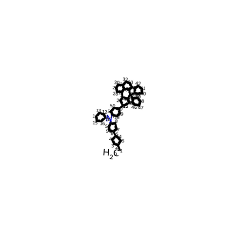 C=Cc1ccc(-c2ccc(N(c3ccccc3)c3ccc(-c4ccc5c(c4)-c4cccc6cccc(c46)C5(c4ccccc4)c4ccccc4)cc3)cc2)cc1